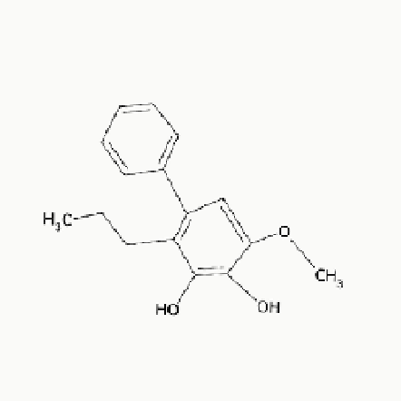 CCCc1c(-c2ccccc2)cc(OC)c(O)c1O